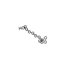 COC(=O)N(CCOCCOCCOCCOCCOCC(=O)O)C1c2ccccc2-c2ccccc21